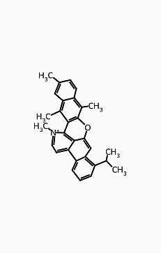 Cc1ccc2c(C)c3c(c(C)c2c1)-c1c2c(cc4c(C(C)C)cccc4c2cc[n+]1C)O3